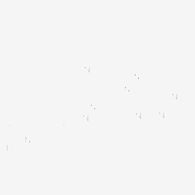 Cc1nn(C(C)c2cc3ccccn3c2-c2ccc(OCCN(C)C)nn2)c2ncnc(N)c12